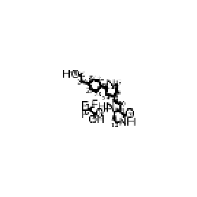 O=C(O)C(F)(F)F.O=C1NCCc2[nH]c(-c3ccnc(-c4ccc(CCO)cc4)c3)cc21